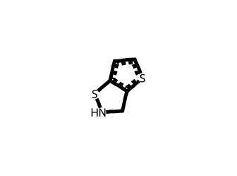 c1cc2c(s1)CNS2